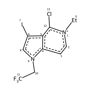 CC[n+]1ccc2c(c(I)cn2CC(F)(F)F)c1Cl